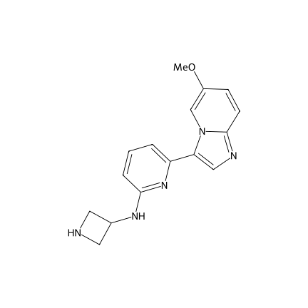 COc1ccc2ncc(-c3cccc(NC4CNC4)n3)n2c1